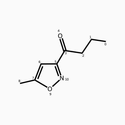 CCCC(=O)c1cc(C)on1